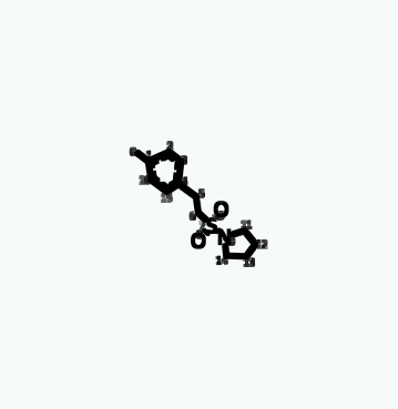 Cc1ccc(CCS(=O)(=O)N2CCCC2)cc1